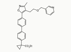 CCOC(=O)C1(c2ccc(-c3ccc(-c4onc(C)c4CCOCc4cccnc4)cc3)cc2)CC1